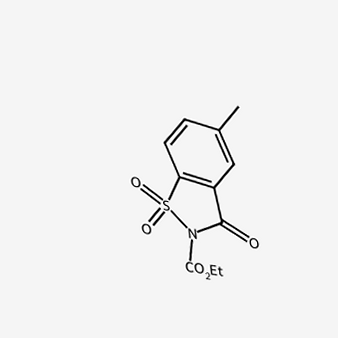 CCOC(=O)N1C(=O)c2cc(C)ccc2S1(=O)=O